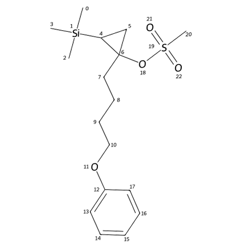 C[Si](C)(C)C1CC1(CCCCOc1ccccc1)OS(C)(=O)=O